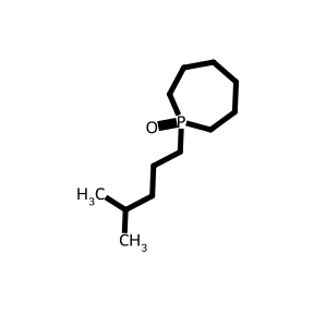 CC(C)CCCP1(=O)CCCCCC1